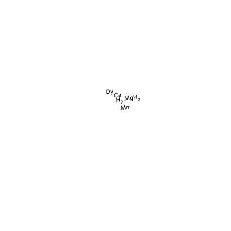 [CaH2].[Dy].[MgH2].[Mn]